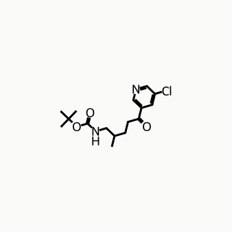 CC(CCC(=O)c1cncc(Cl)c1)CNC(=O)OC(C)(C)C